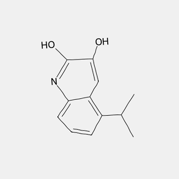 CC(C)c1cccc2nc(O)c(O)cc12